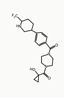 O=C(c1ccc(C2CCC(C(F)(F)F)NC2)cc1)N1CCN(C(=O)C2(O)CC2)CC1